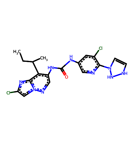 CCC(C)c1c(NC(=O)Nc2cnc(N3C=CNN3)c(Cl)c2)cnn2cc(Cl)nc12